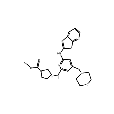 CC(C)(C)OC(=O)N1CC[C@H](Nc2cc(CN3CCOCC3)cc(Nc3nc4cccnc4s3)n2)C1